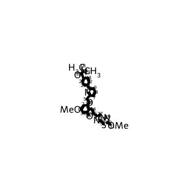 COc1cc(OCc2cccc(-c3ccc(C(=O)N(C)C)cc3)n2)c2cc(-c3cn4nc(OC)sc4n3)oc2c1